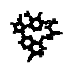 Cc1c(Cl)ccc(-c2c(-c3ccc4c(=O)[nH]nc(CNC(=O)OC(C)(C)C)c4c3)cnn2C)c1C#N